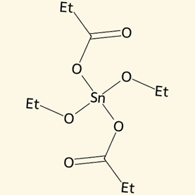 CC[O][Sn]([O]CC)([O]C(=O)CC)[O]C(=O)CC